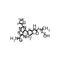 CN(CCO)CC(=O)Nc1cccc(-c2nc(-c3ccco3)nc3sc(C(N)=O)c(N)c23)c1